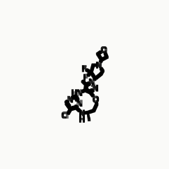 Cc1c2c(nn1C1CCN(C3COC3)CC1(F)F)OCC[C@@H](C)Nc1nc(ncc1Cl)N2